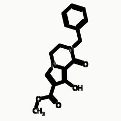 COC(=O)c1cn2c(c1O)C(=O)N(Cc1ccccc1)CC2